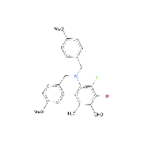 COc1ccc(CN(Cc2ccc(OC)cc2)c2cc(C)c(C=O)c(Br)c2F)cc1